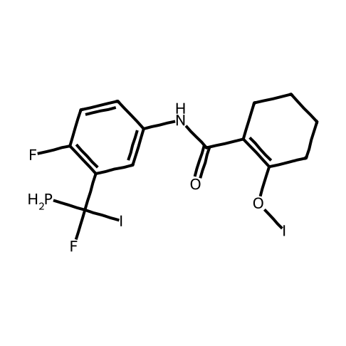 O=C(Nc1ccc(F)c(C(F)(P)I)c1)C1=C(OI)CCCC1